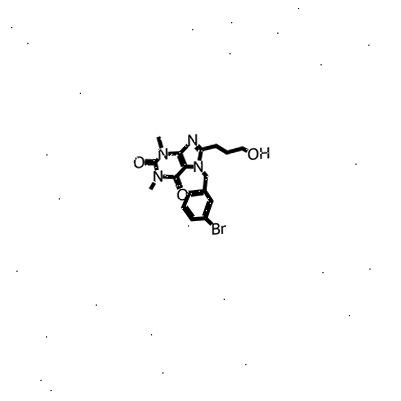 Cn1c(=O)c2c(nc(CCCO)n2Cc2cccc(Br)c2)n(C)c1=O